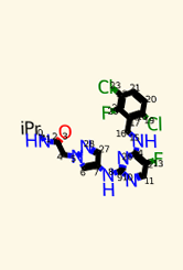 CC(C)NC(=O)Cn1cc(Nc2ncc(F)c(NCc3c(Cl)ccc(Cl)c3F)n2)cn1